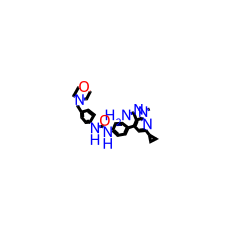 Cn1nc(N)c2c(-c3ccc(NC(=O)Nc4ccc(CN5CCOCC5)cc4)cc3)cc(C3CC3)nc21